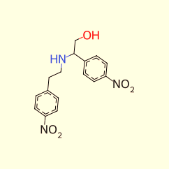 O=[N+]([O-])c1ccc(CCNC(CO)c2ccc([N+](=O)[O-])cc2)cc1